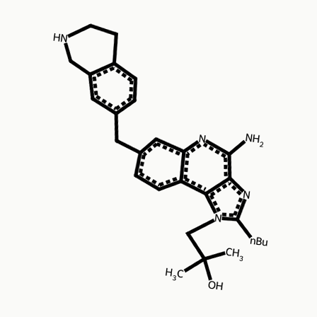 CCCCc1nc2c(N)nc3cc(Cc4ccc5c(c4)CNCC5)ccc3c2n1CC(C)(C)O